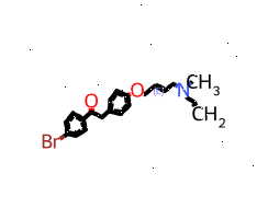 C=CCN(C)C/C=C/COc1ccc(CC(=O)c2ccc(Br)cc2)cc1